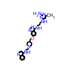 Cc1cc(NCCCNc2ncnc3cc(OCC4CCN(CCNc5ccnc6ccccc56)CC4)ccc23)nc(N)n1